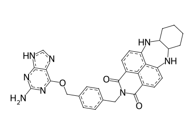 Nc1nc(OCc2ccc(CN3C(=O)c4ccc5c6c(ccc(c46)C3=O)NC3CCCCC3N5)cc2)c2nc[nH]c2n1